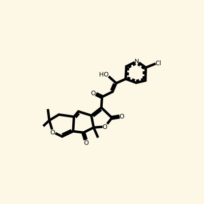 CC1(C)CC2=CC3=C(C(=O)/C=C(\O)c4ccc(Cl)nc4)C(=O)OC3(C)C(=O)C2=CO1